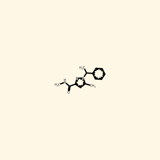 CNC(=O)c1cc(C)n(C(C)c2ccccc2)n1